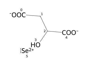 O=C([O-])CC(O)C(=O)[O-].[Se+2]